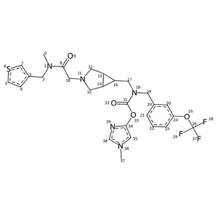 CN(Cc1ccsc1)C(=O)CN1CC2C(C1)C2CN(Cc1cccc(OC(F)(F)F)c1)C(=O)Oc1cn(C)cn1